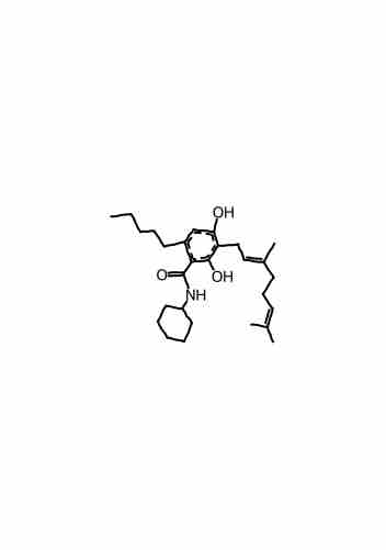 CCCCCc1cc(O)c(C/C=C(\C)CCC=C(C)C)c(O)c1C(=O)NC1CCCCC1